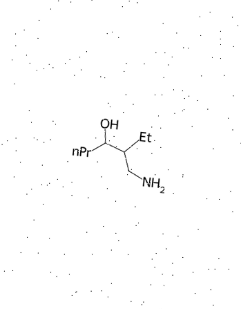 CCCC(O)C(CC)CN